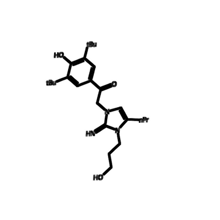 CCCc1cn(CC(=O)c2cc(C(C)(C)C)c(O)c(C(C)(C)C)c2)c(=N)n1CCCO